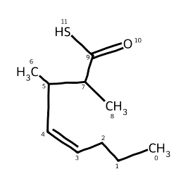 CCC/C=C\C(C)C(C)C(=O)S